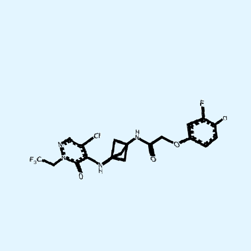 O=C(COc1ccc(Cl)c(F)c1)NC12CC(Nc3c(Cl)cnn(CC(F)(F)F)c3=O)(C1)C2